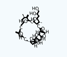 C=C1C[C@@H]2CC[C@@]34C[C@H]5O[C@H]6C(O3)[C@H]3O[C@H](CC[C@@H]3O[C@H]6[C@H]5O4)CC(=O)CC3[C@@H](C)C(C[C@H](O)CO)O[C@H]3CC3O[C@@H](CCC1O2)C[C@@H](C)C3=C